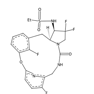 CCS(=O)(=O)N[C@@H]1[C@@H]2Cc3cccc(c3F)Oc3ccc(F)c(n3)CNC(=O)N2CC1(F)F